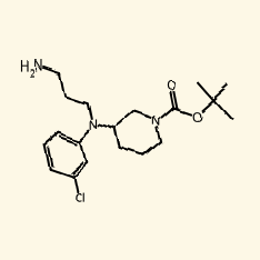 CC(C)(C)OC(=O)N1CCCC(N(CCCN)c2cccc(Cl)c2)C1